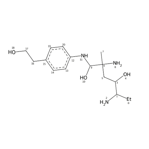 CCC(N)C(O)CC(C)(N)C(O)Nc1ccc(CCO)cc1